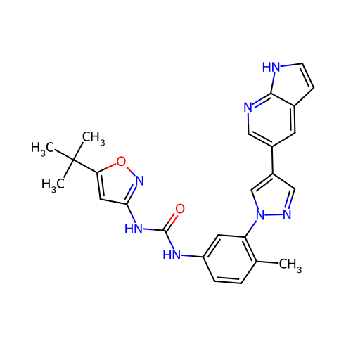 Cc1ccc(NC(=O)Nc2cc(C(C)(C)C)on2)cc1-n1cc(-c2cnc3[nH]ccc3c2)cn1